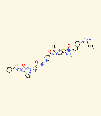 CC[C@@H]1CN(c2ccc3c(c2)CC[C@H](NC(=O)c2sc4nc([C@H](C)NC(=O)C5CCN(CCNC(=O)c6cnc(N/N=C7/C(=O)N(c8nc(-c9ccccc9)cs8)N=C7c7ccccc7)s6)CC5)ccc4c2N)C3)CCN1